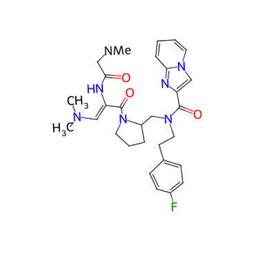 CNCC(=O)N/C(=C\N(C)C)C(=O)N1CCCC1CN(CCc1ccc(F)cc1)C(=O)c1cn2ccccc2n1